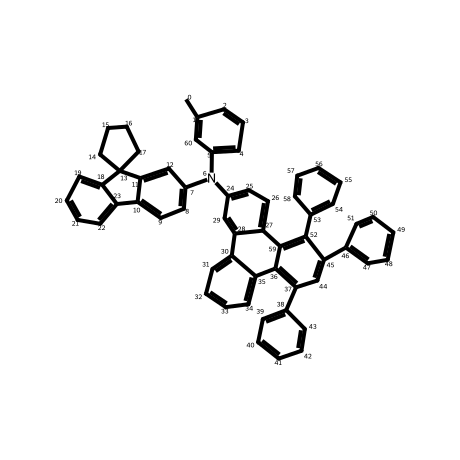 Cc1cccc(N(c2ccc3c(c2)C2(CCCC2)c2ccccc2-3)c2ccc3c(c2)c2ccccc2c2c(-c4ccccc4)cc(-c4ccccc4)c(-c4ccccc4)c32)c1